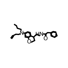 C#CCCN(CCCC)c1ccc2c(c1)OCCC2CCNC(=O)Cc1ccccc1